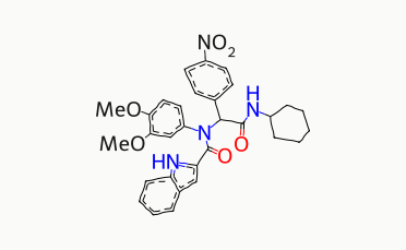 COc1ccc(N(C(=O)c2cc3ccccc3[nH]2)C(C(=O)NC2CCCCC2)c2ccc([N+](=O)[O-])cc2)cc1OC